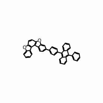 c1ccc(-c2c3ccccc3c(-c3ccc(-c4ccc5c(c4)oc4ccc6oc7ccccc7c6c45)cc3)c3ccccc23)cc1